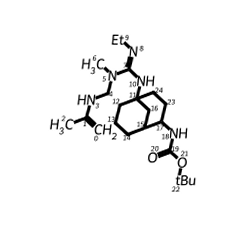 C=C(C)NCN(C)/C(=N\CC)NC12CCCC(C1)C(NC(=O)OC(C)(C)C)CC2